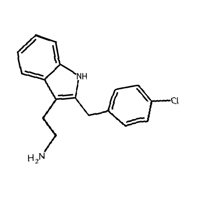 NCCc1c(Cc2ccc(Cl)cc2)[nH]c2ccccc12